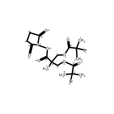 CC(C)(Br)C(=O)OCC(C)(COC(=O)C(C)(C)Br)C(=O)ON1C(=O)CCC1=O